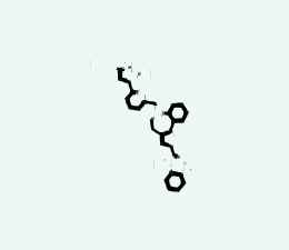 Cc1cc(-c2cccc(C(=O)N3CCc4cc(C(=O)Nc5ccccc5N)sc4-c4ccccc43)n2)n(C)n1